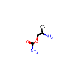 N#CC(N)COC(N)=O